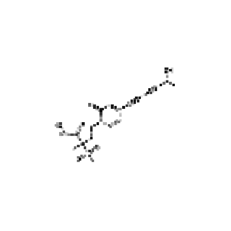 CC(O)C#CC#Cc1ccn(CCC(C)(C(=O)NO)S(C)(=O)=O)c(=O)c1